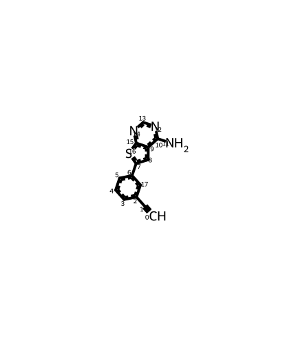 C#Cc1cccc(-c2cc3c(N)ncnc3s2)c1